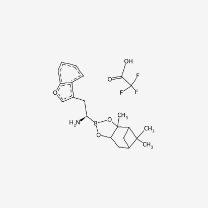 CC1(C)C2CC3OB([C@@H](N)Cc4coc5ccccc45)OC3(C)C1C2.O=C(O)C(F)(F)F